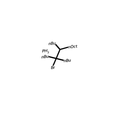 CCCCCCCCC(CCCC)C(Br)(CCCC)CCCC.P